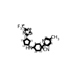 Cc1ccc(C2(C#N)CCC(N[C@@H]3CC[C@H](c4nc(C(F)(F)F)no4)C3)CC2)nc1